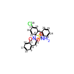 NS(=O)(=O)C1(N2C=Cc3ccccc3O2)C=CC(Cl)=CC1c1ccccc1